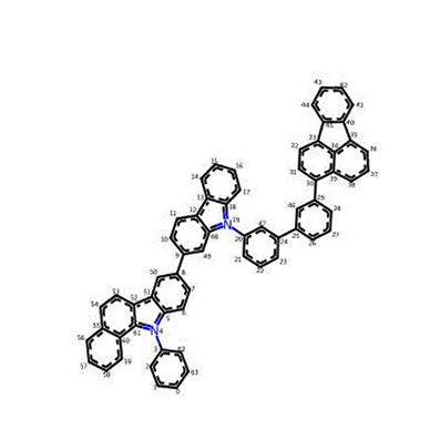 c1ccc(-n2c3ccc(-c4ccc5c6ccccc6n(-c6cccc(-c7cccc(-c8ccc9c%10c(cccc8%10)-c8ccccc8-9)c7)c6)c5c4)cc3c3ccc4ccccc4c32)cc1